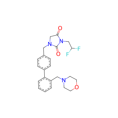 O=C1CN(Cc2ccc(-c3ccccc3CN3CCOCC3)cc2)C(=O)N1CC(F)F